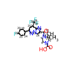 CC1(C)CN(C(=O)O)CCN1C(=O)c1cn2nc(-c3ccc(F)cc3)cc(C(F)(F)F)c2n1